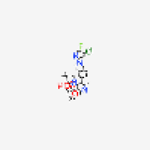 Cc1nc(C)c(C(OC(C)(C)C)(C(=O)O)C(C)C)c(N2CCC(C)(C)CC2)c1-c1ccc2c(c1)CCN(c1cc(Cl)c(F)cn1)C2